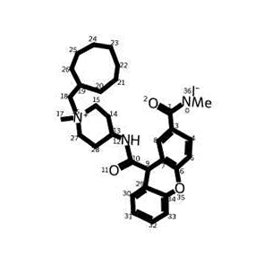 CNC(=O)c1ccc2c(c1)C(C(=O)NC1CC[N+](C)(CC3CCCCCCC3)CC1)c1ccccc1O2.[I-]